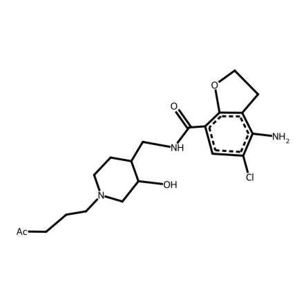 CC(=O)CCCN1CCC(CNC(=O)c2cc(Cl)c(N)c3c2OCC3)C(O)C1